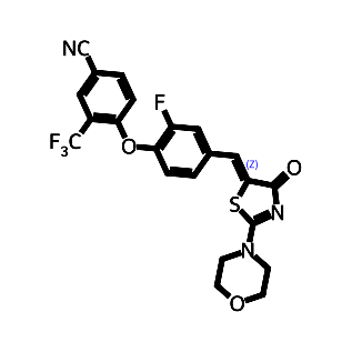 N#Cc1ccc(Oc2ccc(/C=C3\SC(N4CCOCC4)=NC3=O)cc2F)c(C(F)(F)F)c1